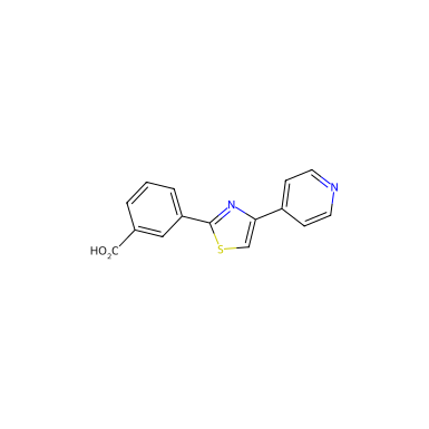 O=C(O)c1cccc(-c2nc(-c3ccncc3)cs2)c1